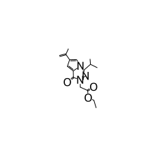 C=C(C)c1cc2c(=O)n(CC(=O)OCC)nc(C(C)C)n2c1